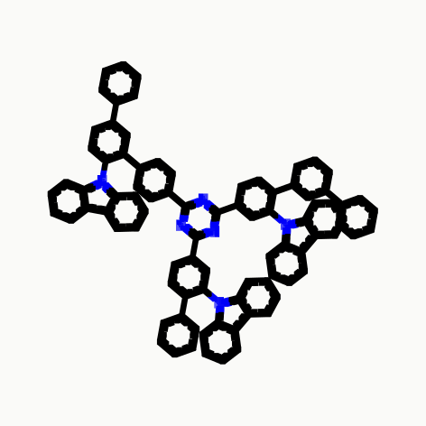 c1ccc(-c2cccc(-c3ccc(-c4nc(-c5ccc(-c6cc(-c7ccccc7)ccc6-n6c7ccccc7c7ccccc76)cc5)nc(-c5ccc(-c6ccccc6)c(-n6c7ccccc7c7ccccc76)c5)n4)cc3-n3c4ccccc4c4ccccc43)c2)cc1